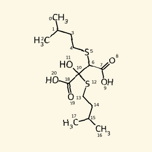 CC(C)CCSC(C(=O)O)C(O)(SCCC(C)C)C(=O)O